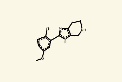 COc1ccc(Cl)c(-c2nc3c([nH]2)CNCC3)c1